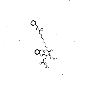 CCCCCCCCCCCN(C(=O)CCCCCCCCCC(=O)OCc1ccccc1)C(CCC(=O)OC(C)(C)C)C(=O)OCc1ccccc1